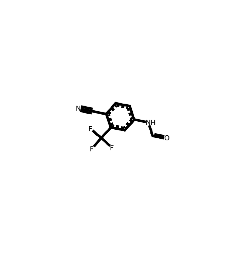 N#Cc1ccc(NC=O)cc1C(F)(F)F